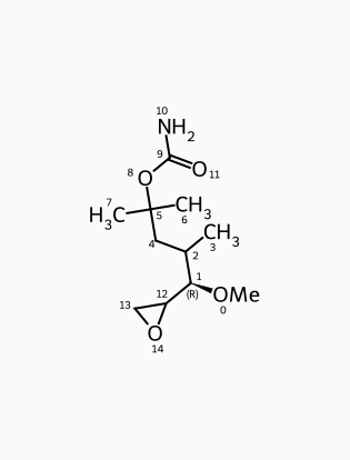 CO[C@H](C(C)CC(C)(C)OC(N)=O)C1CO1